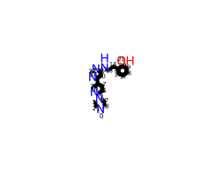 CN1CCN(c2ccc(-c3cc(NCCc4ccccc4O)ncn3)cn2)CC1